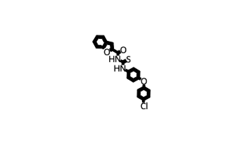 O=C(NC(=S)Nc1ccc(Oc2ccc(Cl)cc2)cc1)c1cc2ccccc2o1